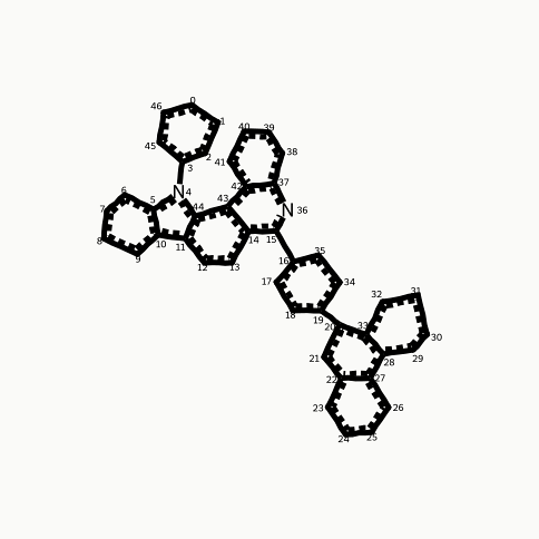 c1ccc(-n2c3ccccc3c3ccc4c(-c5ccc(-c6cc7ccccc7c7ccccc67)cc5)nc5ccccc5c4c32)cc1